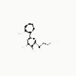 COc1ccccc1-c1cc(C#N)c(O)c(C(=O)CCC(=O)O)n1